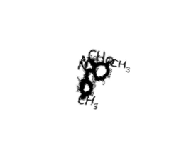 COC1CCCCc2c(-c3ccc(C)cc3)nnc(C)c2C1